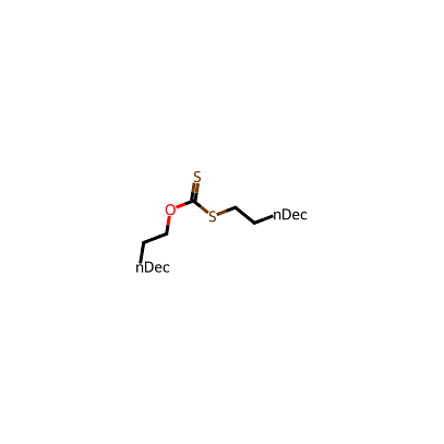 CCCCCCCCCCCCOC(=S)SCCCCCCCCCCCC